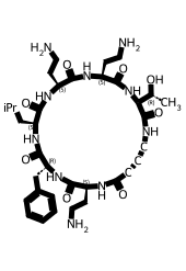 CC(C)C[C@@H]1NC(=O)[C@@H](Cc2ccccc2)NC(=O)[C@H](CCN)NC(=O)CCCNC(=O)C([C@@H](C)O)NC(=O)[C@H](CCN)NC(=O)[C@H](CCN)NC1=O